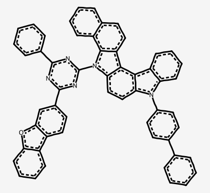 c1ccc(-c2ccc(-n3c4ccccc4c4c5c6ccc7ccccc7c6n(-c6nc(-c7ccccc7)nc(-c7ccc8c(c7)oc7ccccc78)n6)c5ccc43)cc2)cc1